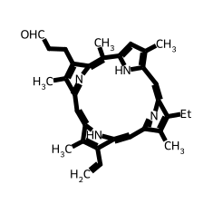 C=Cc1c(C)c2cc3nc(c(C)c4cc(C)c(cc5nc(cc1[nH]2)C(C)=C5CC)[nH]4)C(CCC=O)=C3C